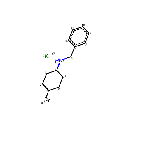 CC(C)[C@H]1CC[C@@H](NCc2ccccc2)CC1.Cl